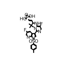 Cc1ccc(S(=O)(=O)n2cc(-c3ncc(F)c(NC(C=CP(=O)(O)O)C(C)(C)C)n3)c3cc(F)cnc32)cc1